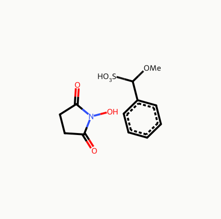 COC(c1ccccc1)S(=O)(=O)O.O=C1CCC(=O)N1O